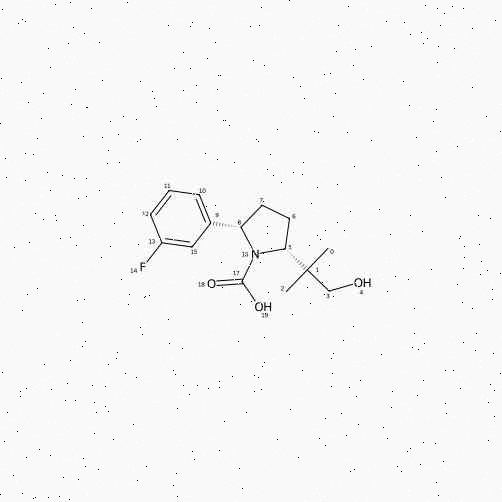 CC(C)(CO)[C@H]1CC[C@@H](c2cccc(F)c2)N1C(=O)O